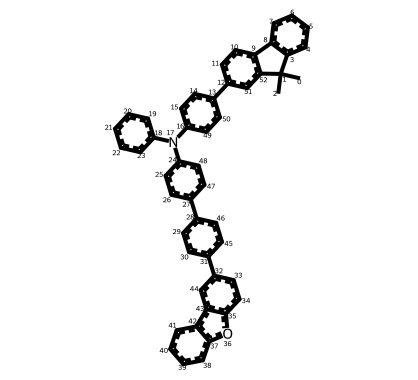 CC1(C)c2ccccc2-c2ccc(-c3ccc(N(c4ccccc4)c4ccc(-c5ccc(-c6ccc7oc8ccccc8c7c6)cc5)cc4)cc3)cc21